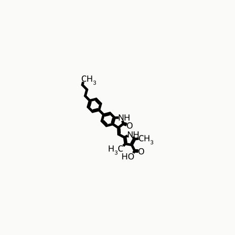 CCCCc1ccc(-c2ccc3c(c2)NC(=O)C3=Cc2[nH]c(C)c(C(=O)O)c2C)cc1